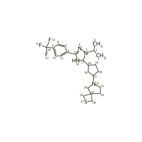 CC(C)N1N=C(c2ccc(C(F)(F)F)cc2)NC1C1CCC(N2CCC3(CSC3)C2)C1